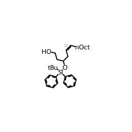 CCCCCCCC/C=C\CC(CCO)O[Si](c1ccccc1)(c1ccccc1)C(C)(C)C